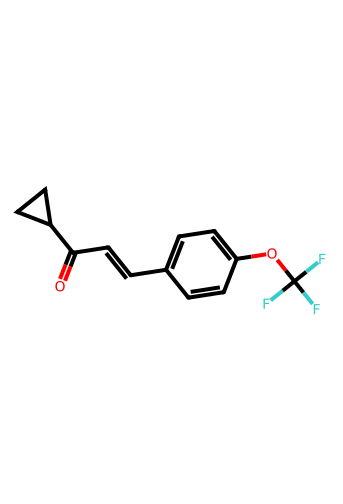 O=C(C=Cc1ccc(OC(F)(F)F)cc1)C1CC1